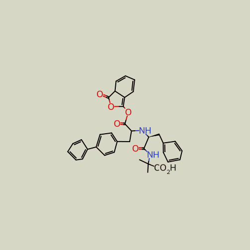 CC(C)(NC(=O)[C@H](Cc1ccccc1)NC(Cc1ccc(-c2ccccc2)cc1)C(=O)OC1=C2C=CC=CC2C(=O)O1)C(=O)O